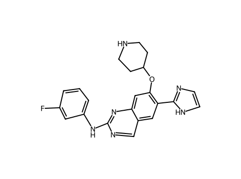 Fc1cccc(Nc2ncc3cc(-c4ncc[nH]4)c(OC4CCNCC4)cc3n2)c1